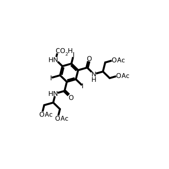 CC(=O)OCC(COC(C)=O)NC(=O)c1c(I)c(NC(=O)O)c(I)c(C(=O)NC(COC(C)=O)COC(C)=O)c1I